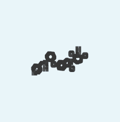 O=C1CCC(N2Cc3cc(O[C@@H]4CCCC[C@@H]4NCc4ccncc4)ccc3C2=O)C(=O)N1